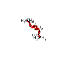 C=C1SC2=C(Sc3ccc4cc(Sc5ccc(CCC(C)CCCC(C)C)cc5)ccc4c31)c1ccc(Sc3ccc(CCC(C)CCCC(C)C)cc3)cc1CC2